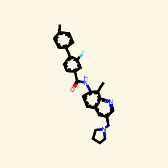 Cc1ccc(-c2ccc(C(=O)Nc3ccc4cc(CN5CCCC5)cnc4c3C)cc2F)cc1